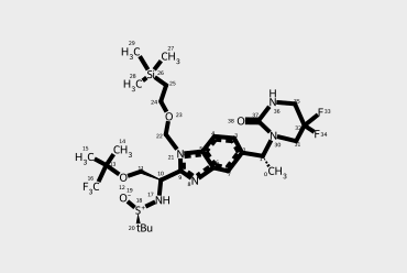 C[C@H](c1ccc2c(c1)nc([C@H](COC(C)(C)C(F)(F)F)N[S@+]([O-])C(C)(C)C)n2COCC[Si](C)(C)C)N1CC(F)(F)CNC1=O